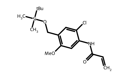 C=CC(=O)Nc1cc(OC)c(CO[Si](C)(C)C(C)(C)C)cc1Cl